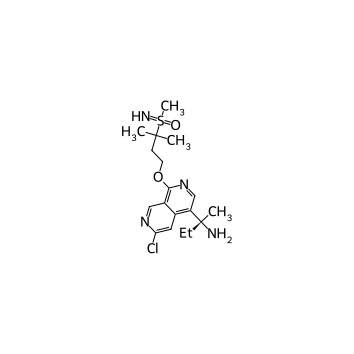 CC[C@@](C)(N)c1cnc(OCCC(C)(C)S(C)(=N)=O)c2cnc(Cl)cc12